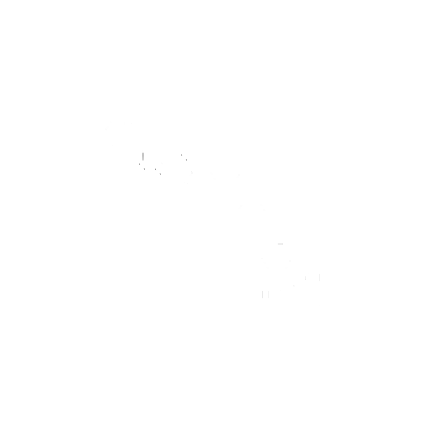 CC(C)(C)c1ccc(-c2ccc(-c3cccc(C(=O)Nc4nnc(-c5ccco5)o4)c3)cc2)cc1